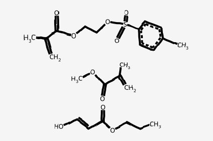 C=C(C)C(=O)OC.C=C(C)C(=O)OCCOS(=O)(=O)c1ccc(C)cc1.CCCOC(=O)C=CO